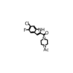 CC(=O)N1CCN(C(=O)c2cc3cc(F)c(Cl)cc3[nH]2)CC1